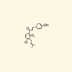 COc1ccc(C(=O)C=CC2C=CC(O)=CC2)c(OC)c1CC=C(C)C